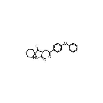 O=C(CN1C(=O)NC2(CCCCC2)C1=O)c1ccc(Oc2ccccc2)cc1